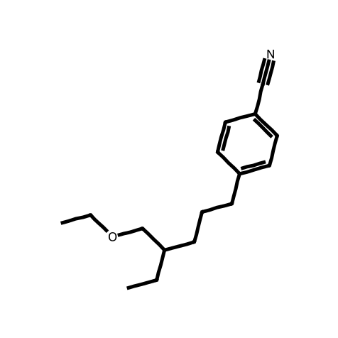 CCOCC(CC)CCCc1ccc(C#N)cc1